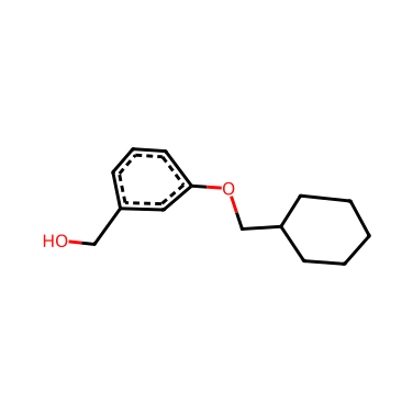 OCc1cccc(OCC2CCCCC2)c1